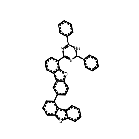 c1ccc(C2=NC(c3cccc4c3oc3ccc(-c5cccc6sc7ccccc7c56)cc34)=NC(c3ccccc3)N2)cc1